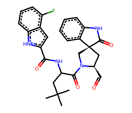 CC(C)(C)CC(NC(=O)c1cc2c(F)cccc2[nH]1)C(=O)N1C[C@]2(C[C@H]1C=O)C(=O)Nc1ccccc12